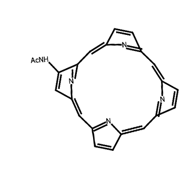 CC(=O)NC1=CC2=CC3=NC(=CC4=NC(=CC5=NC(=CC1=N2)C=C5)C=C4)C=C3